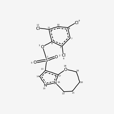 O=S(=O)(Oc1c(Cl)cc(Cl)cc1Cl)c1cnn2c1OCCCC2